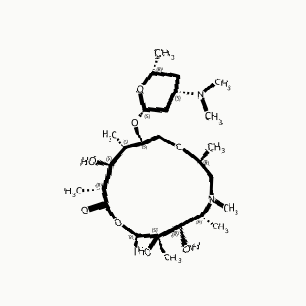 C[C@@H]1CC[C@H](O[C@H]2C[C@@H](N(C)C)C[C@@H](C)O2)[C@@H](C)[C@H](O)[C@@H](C)C(=O)O[C@H](I)[C@@](C)(O)[C@H](O)[C@@H](C)N(C)C1